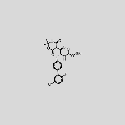 CC(C)(C)OC(=O)N[C@H](Cc1ccc(-c2cc(Cl)ccc2F)cc1)C(=O)C1C(=O)OC(C)(C)OC1=O